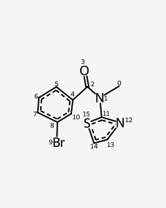 CN(C(=O)c1cccc(Br)c1)c1nccs1